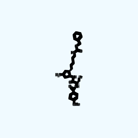 COc1ccc(C(=O)N[C@@H](CC(C)C)C(=O)NN2CC(C)C[C@@H]2CCCCCNC(=O)OCc2ccccc2)cc1